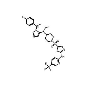 COC(c1cncn1[C@H](C)c1ccc(F)cc1)C1CCN(S(=O)(=O)c2cnc(Nc3ccc(C(F)(F)F)cn3)s2)CC1